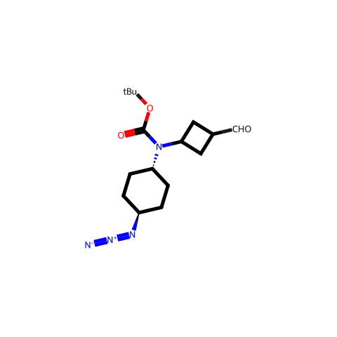 CC(C)(C)OC(=O)N(C1CC(C=O)C1)[C@H]1CC[C@H](N=[N+]=[N-])CC1